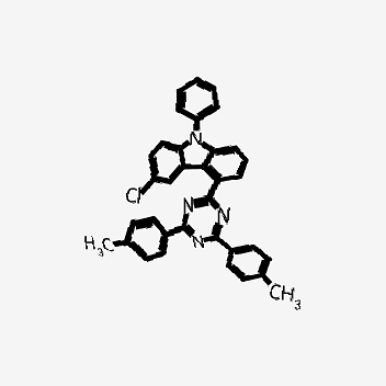 Cc1ccc(-c2nc(-c3ccc(C)cc3)nc(-c3cccc4c3c3cc(Cl)ccc3n4-c3ccccc3)n2)cc1